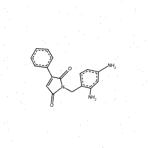 Nc1ccc(CN2C(=O)C=C(c3ccccc3)C2=O)c(N)c1